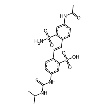 CC(=O)Nc1ccc(C=Cc2ccc(NC(=S)NC(C)C)cc2S(=O)(=O)O)c(S(N)(=O)=O)c1